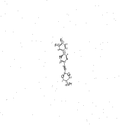 CCCC1COC(C#Cc2ccc(-c3ccc(F)c(F)c3)nc2)OC1